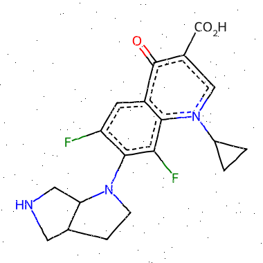 O=C(O)c1cn(C2CC2)c2c(F)c(N3CCC4CNCC43)c(F)cc2c1=O